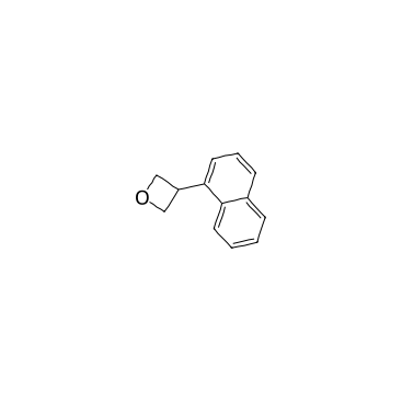 c1ccc2c(C3COC3)cccc2c1